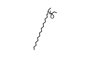 CCCCCCCCCCCCCCCCN(CC)C(=O)CC